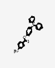 CC(C)(C)c1ccc(C(=O)Oc2ccc([SH](c3ccccc3)c3ccccc3)cc2)cc1